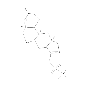 C[C@H]1CC[C@]2(C)[C@H](CC[C@@H]3C[C@]4(C)C(OS(=O)(=O)C(F)(F)F)=CC[C@H]4C[C@H]32)C1